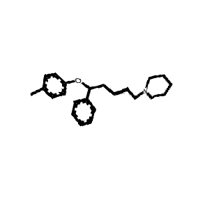 Cc1ccc(OC(CCCCN2CCCCC2)c2ccccc2)cc1